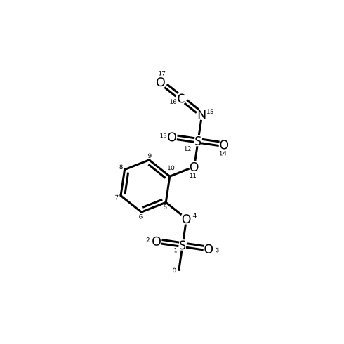 CS(=O)(=O)Oc1ccccc1OS(=O)(=O)N=C=O